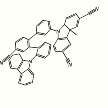 CC12C=C(C#N)C=CC1N(c1cccc(-c3ccc(C#N)cc3-c3ccccc3-n3c4c(c5ccccc53)C=CCC4)c1)c1ccc(C#N)cc12